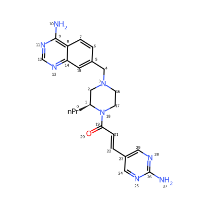 CCC[C@H]1CN(Cc2ccc3c(N)ncnc3c2)CCN1C(=O)C=Cc1cnc(N)nc1